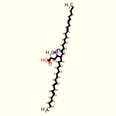 CCCCCC=CCC=CCCCCCCCCC(CCCCCCCCC=CCC=CCCCCC)C(CCC(=O)O)N(C)C